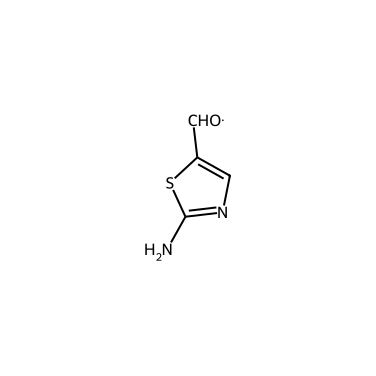 Nc1ncc([C]=O)s1